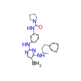 Bc1cnc(Nc2cccc(NC(=O)N3CCCC3)c2)nc1NC(C)CCc1ccccc1